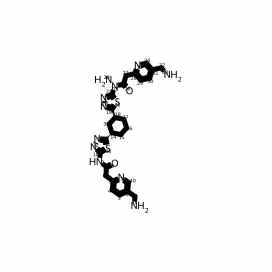 NCc1ccc(CC(=O)Nc2nnc([C@H]3CCC[C@H](c4nnc(N(N)C(=O)Cc5ccc(CN)cn5)s4)C3)s2)nc1